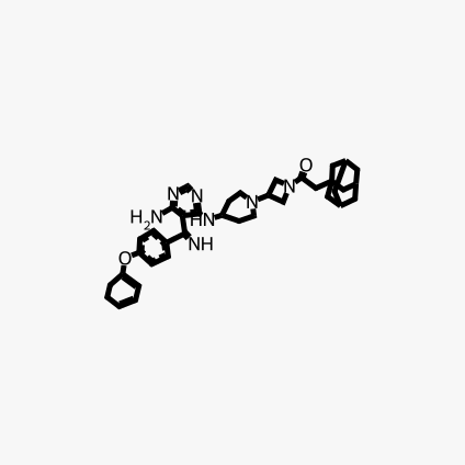 N=C(c1ccc(OC2=CC=CCC2)cc1)c1c(N)ncnc1NC1CCN(C2CN(C(=O)CC34CC5CC(CC(C5)C3)C4)C2)CC1